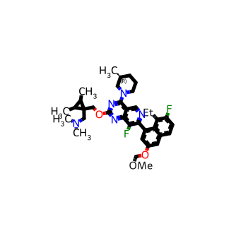 CCc1c(F)ccc2cc(OCOC)cc(-c3ncc4c(N5CCC[C@@H](C)C5)nc(OCC5(CN(C)C)C(C)C5C)nc4c3F)c12